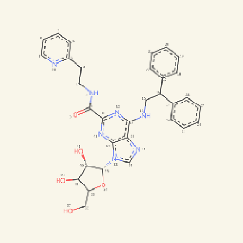 O=C(NCCc1ccccn1)c1nc(NCC(c2ccccc2)c2ccccc2)c2ncn([C@@H]3OC(CO)C(O)[C@H]3O)c2n1